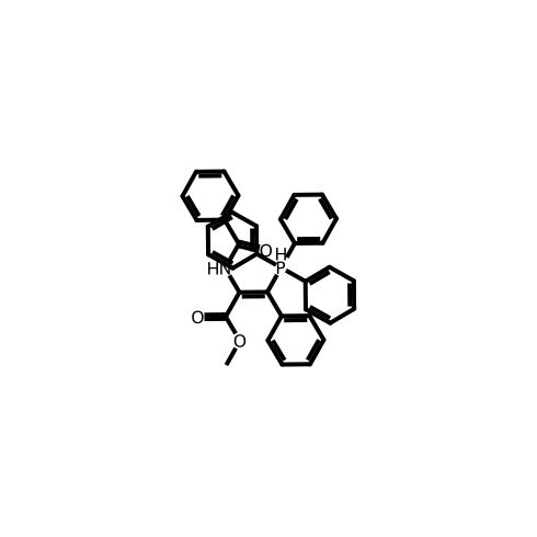 COC(=O)C(NC(=O)c1ccccc1)=C(c1ccccc1)[PH](c1ccccc1)(c1ccccc1)c1ccccc1